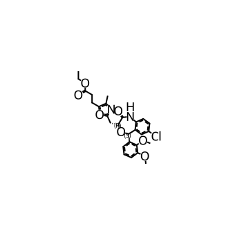 CCOC(=O)CCc1oc(C[C@H]2O[C@H](c3cccc(OC)c3OC)c3cc(Cl)ccc3NC2=O)nc1C